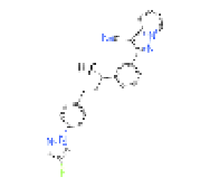 CC(CCc1ccc(-n2cc(F)cn2)cc1)c1cccc(-c2nn3ccccc3c2C#N)c1